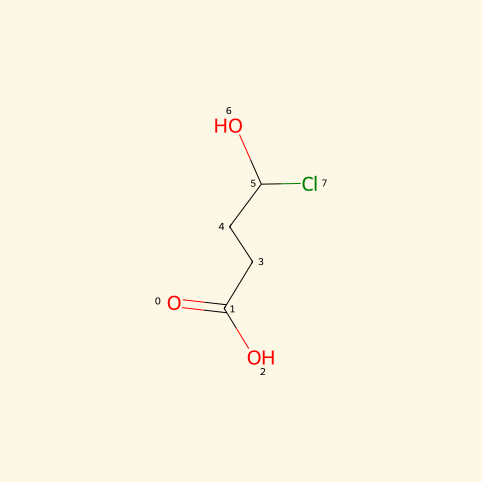 O=C(O)CCC(O)Cl